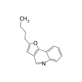 CCCCc1cc2cnc3ccccc3c2o1